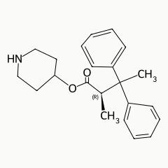 C[C@@H](C(=O)OC1CCNCC1)C(C)(c1ccccc1)c1ccccc1